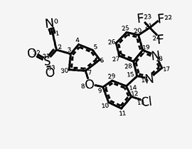 N#CC(c1cccc(Oc2ccc(Cl)c(-c3ncnc4c(C(F)(F)F)cccc34)c2)c1)=S(=O)=O